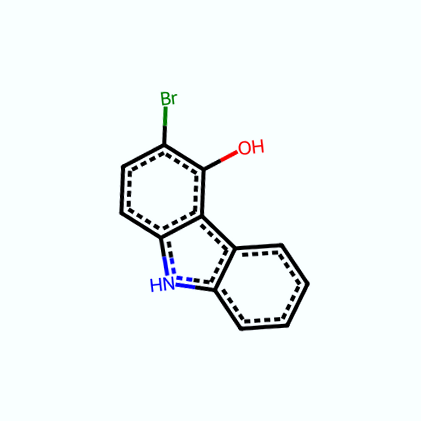 Oc1c(Br)ccc2[nH]c3ccccc3c12